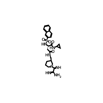 N=C(N)C(=N)N1CCCC(CNC(=O)C[C@H](NS(=O)(=O)c2ccc3ccccc3c2)C(=O)NC2CC2)C1